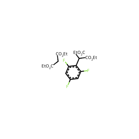 CCOC(=O)C(C(=O)OCC)c1c(F)cc(F)cc1F.CCOC(=O)CC(=O)OCC